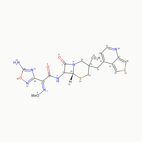 CON=C(C(=O)NC1C(=O)N2CC(Cc3ccnc4cscc34)(C(=O)O)CS[C@H]12)c1noc(N)n1